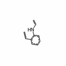 C=CNc1ccccc1C=C